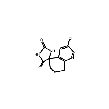 O=C1NC(=O)C2(CCCc3ncc(Cl)cc32)N1